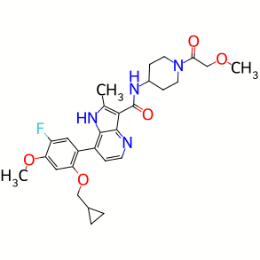 COCC(=O)N1CCC(NC(=O)c2c(C)[nH]c3c(-c4cc(F)c(OC)cc4OCC4CC4)ccnc23)CC1